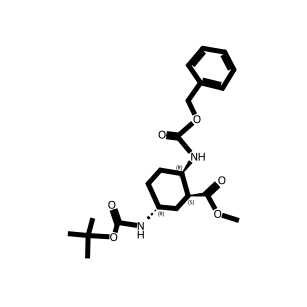 COC(=O)[C@H]1C[C@H](NC(=O)OC(C)(C)C)CC[C@H]1NC(=O)OCc1ccccc1